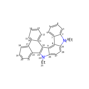 CCn1c2ccccc2c2c3c4c5ccccc5c5ccccc5c4n(CC)c3ccc21